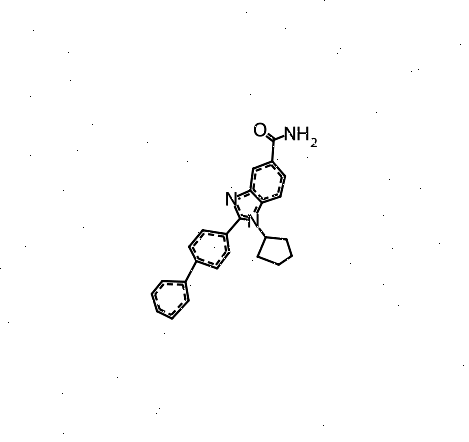 NC(=O)c1ccc2c(c1)nc(-c1ccc(-c3ccccc3)cc1)n2C1CCCC1